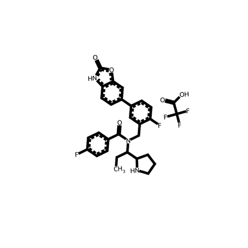 CCC(C1CCCN1)N(Cc1cc(-c2ccc3[nH]c(=O)oc3c2)ccc1F)C(=O)c1ccc(F)cc1.O=C(O)C(F)(F)F